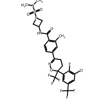 Cc1cc(C2=NOC(c3cc(C(F)(F)F)cc(Cl)c3F)(C(F)(F)F)CC2)ccc1C(=O)NC1CN(S(=O)(=O)N(C)C)C1